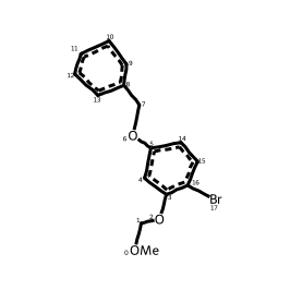 COCOc1cc(OCc2ccccc2)ccc1Br